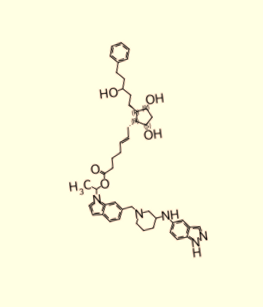 CC(OC(=O)CCCC=CC[C@@H]1[C@@H](CCC(O)CCc2ccccc2)[C@H](O)C[C@@H]1O)n1ccc2ccc(CN3CCCC(Nc4ccc5[nH]ncc5c4)C3)cc21